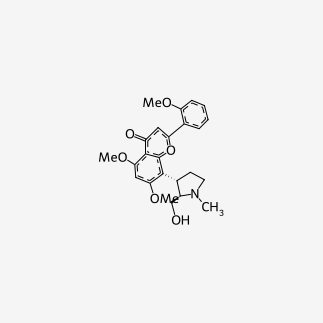 COc1ccccc1-c1cc(=O)c2c(OC)cc(OC)c([C@@H]3CCN(C)[C@H]3CO)c2o1